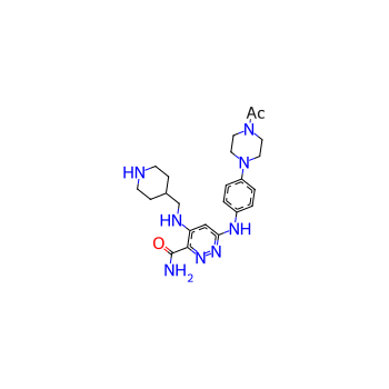 CC(=O)N1CCN(c2ccc(Nc3cc(NCC4CCNCC4)c(C(N)=O)nn3)cc2)CC1